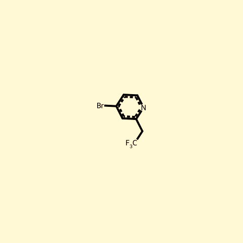 FC(F)(F)Cc1cc(Br)ccn1